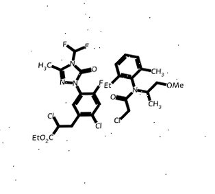 CCOC(=O)C(Cl)Cc1cc(-n2nc(C)n(C(F)F)c2=O)c(F)cc1Cl.CCc1cccc(C)c1N(C(=O)CCl)C(C)COC